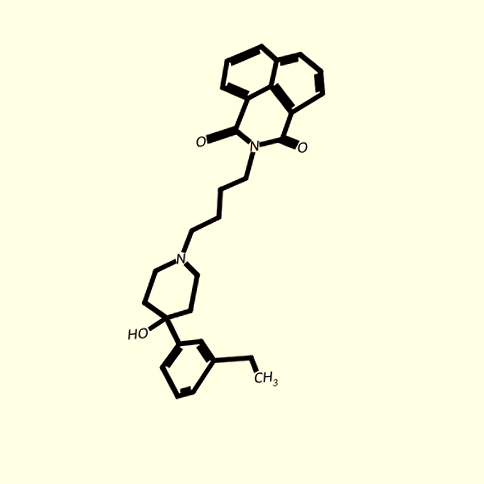 CCc1cccc(C2(O)CCN(CCCCN3C(=O)c4cccc5cccc(c45)C3=O)CC2)c1